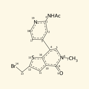 CC(=O)Nc1cc(-c2cn(C)c(=O)c3cc(CBr)sc23)ccn1